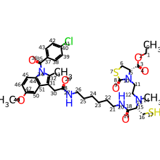 CCOC(=O)[C@H]1CSC(=O)N1CCN(C)[C@H](CS)C(=O)NCCCCCCNC(=O)Cc1c(C)n(C(=O)c2ccc(Cl)cc2)c2ccc(OC)cc12